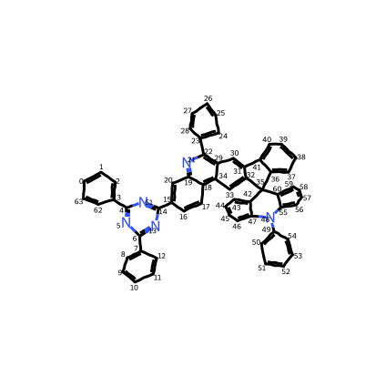 c1ccc(-c2nc(-c3ccccc3)nc(-c3ccc4c(c3)nc(-c3ccccc3)c3cc5c(cc34)C3(c4ccccc4-5)c4ccccc4N(c4ccccc4)c4ccccc43)n2)cc1